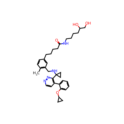 Cc1ccc(CCCCC(=O)NCCCCC(O)CO)cc1CNC1(c2nnccc2-c2ccccc2OC2CC2)CC1